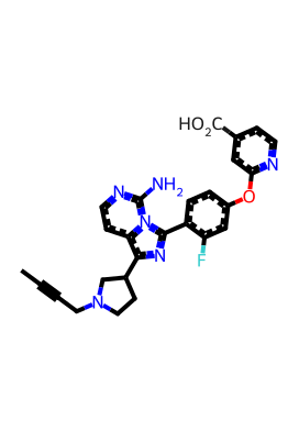 CC#CCN1CCC(c2nc(-c3ccc(Oc4cc(C(=O)O)ccn4)cc3F)n3c(N)nccc23)C1